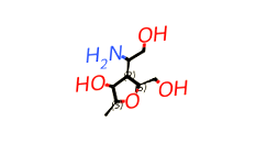 C[C@@H]1O[C@H](CO)[C@H](C(N)CO)C1O